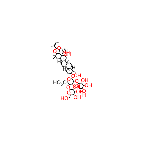 C/C=C(/C)C(=O)O[C@H]1[C@H](OC(C)=O)[C@]2(CO)[C@H](O)C[C@]3(C)C(=CC[C@@H]4[C@@]5(C)CC[C@H](O[C@@H]6O[C@H](C(=O)O)[C@@H](O[C@@H]7O[C@H](CO)[C@@H](O)[C@H](O)[C@H]7O)[C@H](O)[C@H]6O[C@@H]6OC[C@@H](O)[C@H](O)[C@H]6O)[C@](C)(CO)[C@@H]5CC[C@]43C)[C@@H]2CC1(C)C